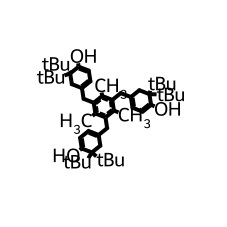 Cc1c(CC2=CC=C(O)C(C(C)(C)C)(C(C)(C)C)C2)c(C)c(CC2=CC=C(O)C(C(C)(C)C)(C(C)(C)C)C2)c(C)c1CC1=CC=C(O)C(C(C)(C)C)(C(C)(C)C)C1